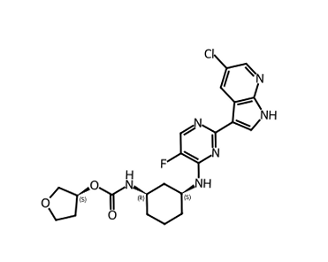 O=C(N[C@@H]1CCC[C@H](Nc2nc(-c3c[nH]c4ncc(Cl)cc34)ncc2F)C1)O[C@H]1CCOC1